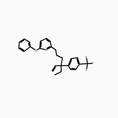 C=CC(CC)(CCCc1cccc(Oc2ccccc2)n1)c1ccc(C(F)(F)F)cc1